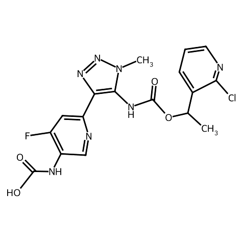 CC(OC(=O)Nc1c(-c2cc(F)c(NC(=O)O)cn2)nnn1C)c1cccnc1Cl